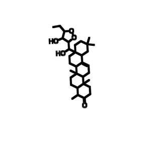 CCC1OOC(C(O)C23CCC4C(=CCC5C4(C)CCC4C(C)C(=O)CCC45C)C2CC(C)(C)CC3)C1O